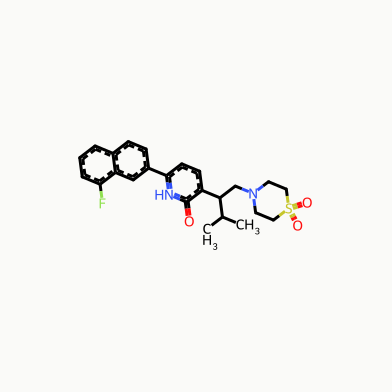 CC(C)C(CN1CCS(=O)(=O)CC1)c1ccc(-c2ccc3cccc(F)c3c2)[nH]c1=O